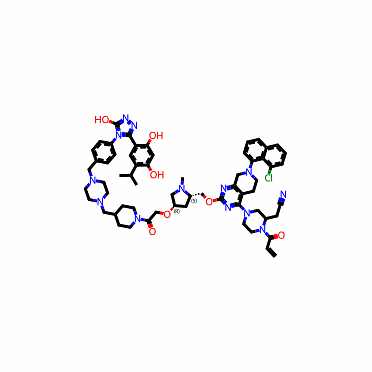 C=CC(=O)N1CCN(c2nc(OC[C@@H]3C[C@@H](OCC(=O)N4CCC(CN5CCN(Cc6ccc(-n7c(O)nnc7-c7cc(C(C)C)c(O)cc7O)cc6)CC5)CC4)CN3C)nc3c2CCN(c2cccc4cccc(Cl)c24)C3)CC1CC#N